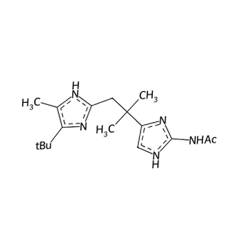 CC(=O)Nc1nc(C(C)(C)Cc2nc(C(C)(C)C)c(C)[nH]2)c[nH]1